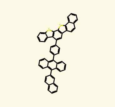 c1ccc2cc(-c3c4ccccc4c(-c4ccc(-c5cc6c7ccc8ccccc8c7sc6c6sc7ccccc7c56)cc4)c4ccccc34)ccc2c1